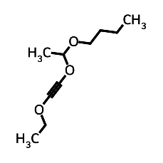 CCCCOC(C)OC#COCC